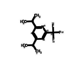 CC(C)c1cc(C(C)C)nc(C(F)(F)F)c1